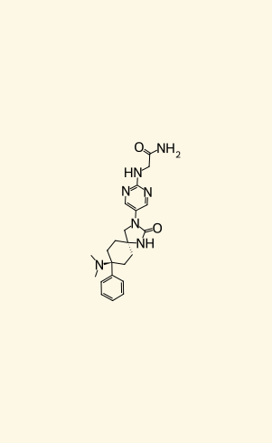 CN(C)[C@]1(c2ccccc2)CC[C@]2(CC1)CN(c1cnc(NCC(N)=O)nc1)C(=O)N2